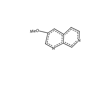 COc1cnc2cnccc2c1